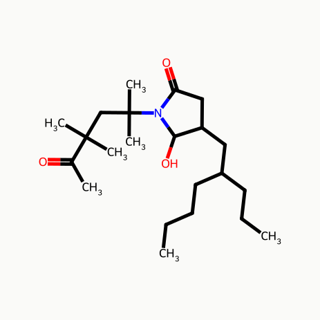 CCCCC(CCC)CC1CC(=O)N(C(C)(C)CC(C)(C)C(C)=O)C1O